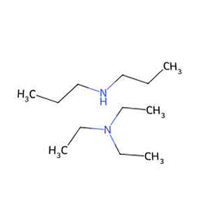 CCCNCCC.CCN(CC)CC